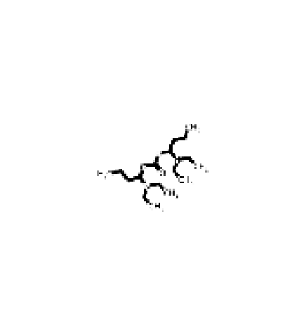 CCCC(OC(=O)OC(CCC)N(CC)CC)N(CC)CC